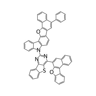 c1ccc(-c2cc3c4ccc5c(c6ccccc6n5-c5nc(-c6cc7ccccc7c7c6oc6ccccc67)c6sc7ccccc7c6n5)c4oc3c3ccccc23)cc1